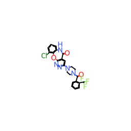 O=C1Nc2cccc(Cl)c2Oc2nnc(N3CCN(C(=O)c4ccccc4C(F)(F)F)CC3)cc21